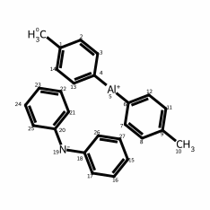 Cc1cc[c]([Al+][c]2ccc(C)cc2)cc1.c1ccc([N-]c2ccccc2)cc1